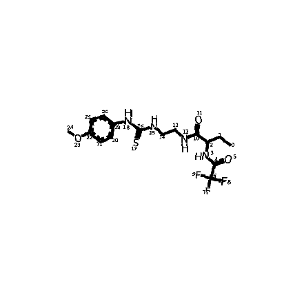 CCC(NC(=O)C(F)(F)F)C(=O)NCCNC(=S)Nc1ccc(OC)cc1